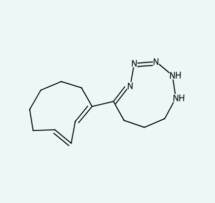 C1=C(\C2=N/N=N\NNCCC2)CCCCC/C=C/1